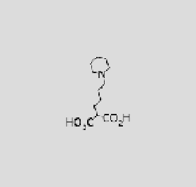 O=C(O)C(CCCCN1CCCCC1)C(=O)O